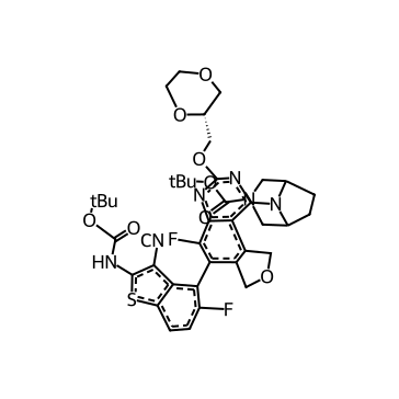 CC(C)(C)OC(=O)Nc1sc2ccc(F)c(-c3c4c(c5c(N6C7CCC6CN(C(=O)OC(C)(C)C)C7)nc(OC[C@H]6COCCO6)nc5c3F)COC4)c2c1C#N